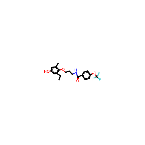 CCc1cc(O)cc(C)c1OCCCNC(=O)c1ccc(OC(F)(F)F)cc1